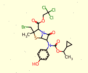 CC(OC(=O)N(c1ccc(O)cc1)C1C(=O)N2C1SC(C)(CBr)C2C(=O)OCC(Cl)(Cl)Cl)C1CC1